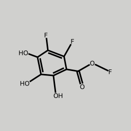 O=C(OF)c1c(O)c(O)c(O)c(F)c1F